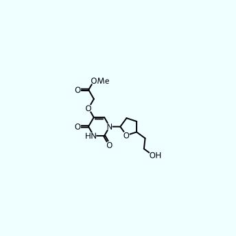 COC(=O)COc1cn(C2CCC(CCO)O2)c(=O)[nH]c1=O